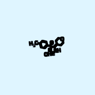 Cc1ccc(S(=O)(=O)C(NC=O)=C2CCOCC2)cc1